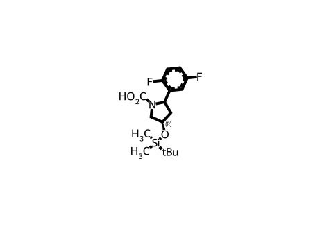 CC(C)(C)[Si](C)(C)O[C@@H]1CC(c2cc(F)ccc2F)N(C(=O)O)C1